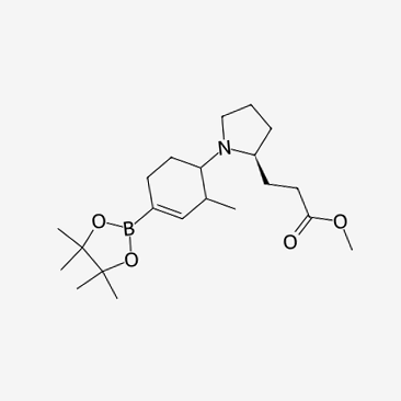 COC(=O)CC[C@@H]1CCCN1C1CCC(B2OC(C)(C)C(C)(C)O2)=CC1C